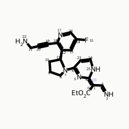 CCOC(=O)/C(C=N)=C1\N=C(N2CCCC2c2cc(F)cnc2C#CCN)C=CN1